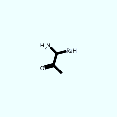 CC(=O)[CH](N)[RaH]